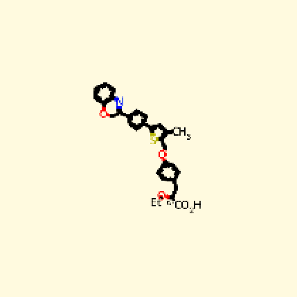 CCO[C@@H](Cc1ccc(OCc2sc(-c3ccc(C4=Nc5ccccc5OC4)cc3)cc2C)cc1)C(=O)O